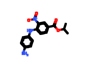 CC(C)OC(=O)c1ccc(Nc2ccc(N)cc2)c([N+](=O)[O-])c1